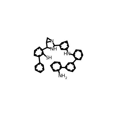 Nc1ccccc1-c1cccc(-c2ccccc2Nc2cccc(C3NC(c4cccc(-c5ccccc5)c4S)C4CN34)c2)c1